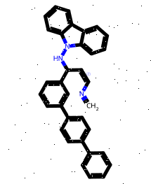 C=N/C=C\C(Nn1c2ccccc2c2ccccc21)c1cccc(-c2ccc(-c3ccccc3)cc2)c1